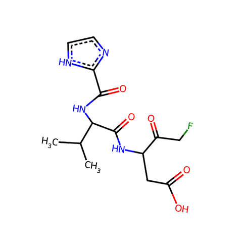 CC(C)C(NC(=O)c1ncc[nH]1)C(=O)NC(CC(=O)O)C(=O)CF